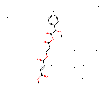 COC(=O)/C=C/C(=O)OCCC(=O)OC(=O)C(OC)c1ccccc1